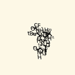 CC#CC(=O)N(C[C@@H]1CCNC1=O)NC(=O)[C@@H]1[C@@H]2[C@H](CN1C(=O)[C@@H](NC(=O)C(F)(F)F)C(C)(C)C)C2(C)C